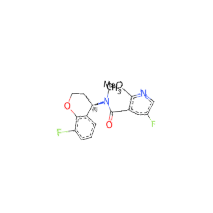 COc1ncc(F)cc1C(=O)N(C)[C@@H]1CCOc2c(F)cccc21